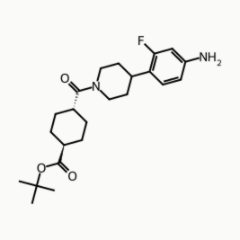 CC(C)(C)OC(=O)[C@H]1CC[C@H](C(=O)N2CCC(c3ccc(N)cc3F)CC2)CC1